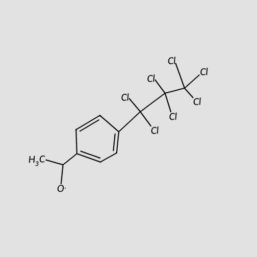 CC([O])c1ccc(C(Cl)(Cl)C(Cl)(Cl)C(Cl)(Cl)Cl)cc1